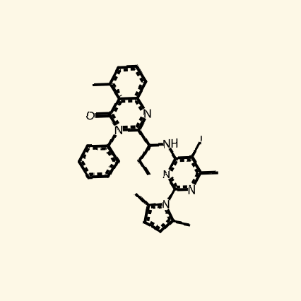 CCC(Nc1nc(-n2c(C)ccc2C)nc(C)c1I)c1nc2cccc(C)c2c(=O)n1-c1ccccc1